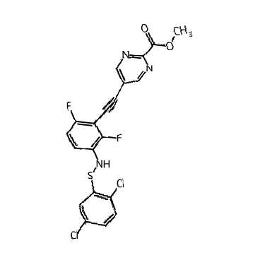 COC(=O)c1ncc(C#Cc2c(F)ccc(NSc3cc(Cl)ccc3Cl)c2F)cn1